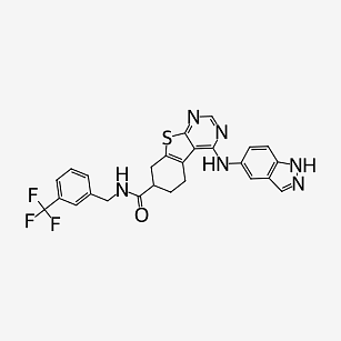 O=C(NCc1cccc(C(F)(F)F)c1)C1CCc2c(sc3ncnc(Nc4ccc5[nH]ncc5c4)c23)C1